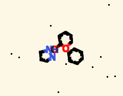 O=c1cccco1.c1ccccc1.c1cn[nH]c1